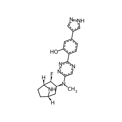 CN(c1cnc(-c2ccc(-c3cn[nH]c3)cc2O)nn1)[C@H]1C[C@@H]2CC[C@@H](N2)[C@H]1F